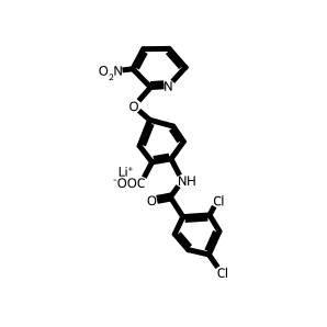 O=C(Nc1ccc(Oc2ncccc2[N+](=O)[O-])cc1C(=O)[O-])c1ccc(Cl)cc1Cl.[Li+]